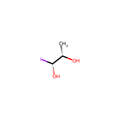 C[C@H](O)[C@H](O)I